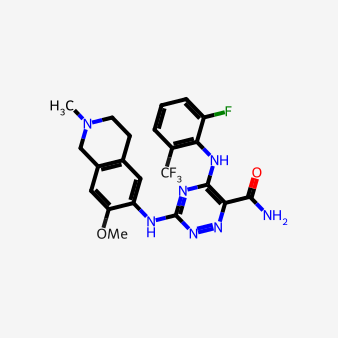 COc1cc2c(cc1Nc1nnc(C(N)=O)c(Nc3c(F)cccc3C(F)(F)F)n1)CCN(C)C2